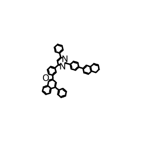 C1=Cc2cc(-c3ccc(-c4nc(-c5ccccc5)cc(-c5ccc6oc7c8ccccc8c(-c8ccccc8)cc7c6c5)n4)cc3)ccc2CC1